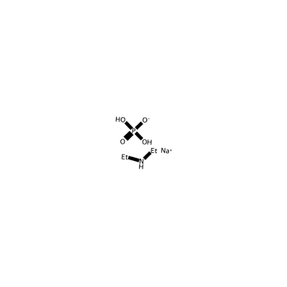 CCNCC.O=P([O-])(O)O.[Na+]